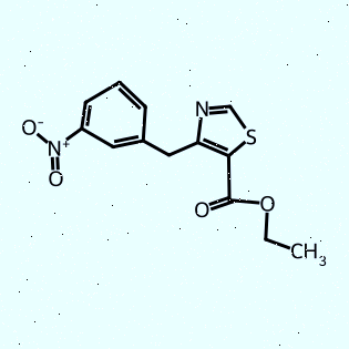 CCOC(=O)c1scnc1Cc1cccc([N+](=O)[O-])c1